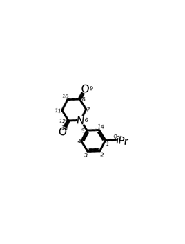 CC(C)c1cccc(N2CC(=O)CCC2=O)c1